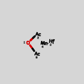 CC(=O)OC(C)=O.[Hf].[Mn]